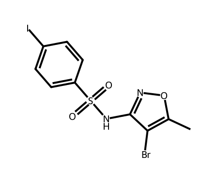 Cc1onc(NS(=O)(=O)c2ccc(I)cc2)c1Br